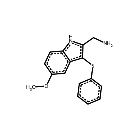 COc1ccc2[nH]c(CN)c(Sc3ccccc3)c2c1